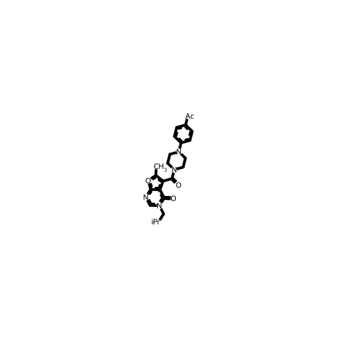 CC(=O)c1ccc(N2CCN(C(=O)c3c(C)oc4ncn(CC(C)C)c(=O)c34)CC2)cc1